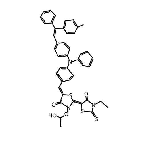 CCN1C(=O)/C(=c2\s/c(=C\c3ccc(N(c4ccccc4)c4ccc(C=C(c5ccccc5)c5ccc(C)cc5)cc4)cc3)c(=O)n2OC(C)O)SC1=S